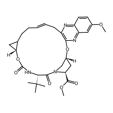 COC(=O)[C@@H]1C[C@@H]2CN1C(=O)[C@H](C(C)(C)C)NC(=O)O[C@@H]1CC1CC/C=C/Cc1nc3ccc(OC)cc3nc1O2